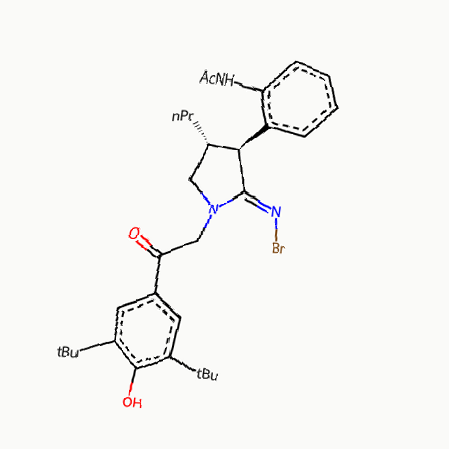 CCC[C@H]1CN(CC(=O)c2cc(C(C)(C)C)c(O)c(C(C)(C)C)c2)/C(=N\Br)[C@@H]1c1ccccc1NC(C)=O